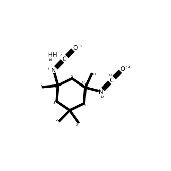 CC1(C)CC(C)(N=C=O)CC(C)(N=C=O)C1.[HH]